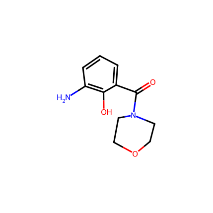 Nc1cccc(C(=O)N2CCOCC2)c1O